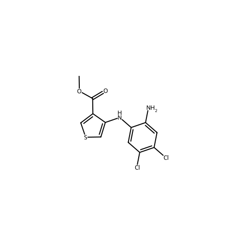 COC(=O)c1cscc1Nc1cc(Cl)c(Cl)cc1N